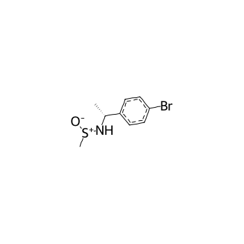 C[C@@H](N[S+](C)[O-])c1ccc(Br)cc1